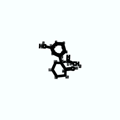 CN[C@@]1(c2cccc(O)c2)CCCCC1=O